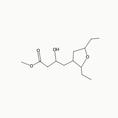 CCC1CC(CC(O)CC(=O)OC)C(CC)O1